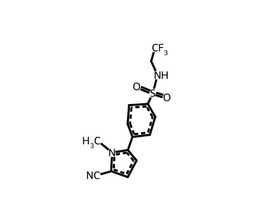 Cn1c(C#N)ccc1-c1ccc(S(=O)(=O)NCC(F)(F)F)cc1